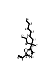 C=Cc1ncc(C(C)(CCC)CCCCCC)o1